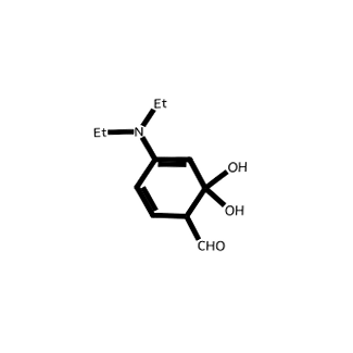 CCN(CC)C1=CC(O)(O)C(C=O)C=C1